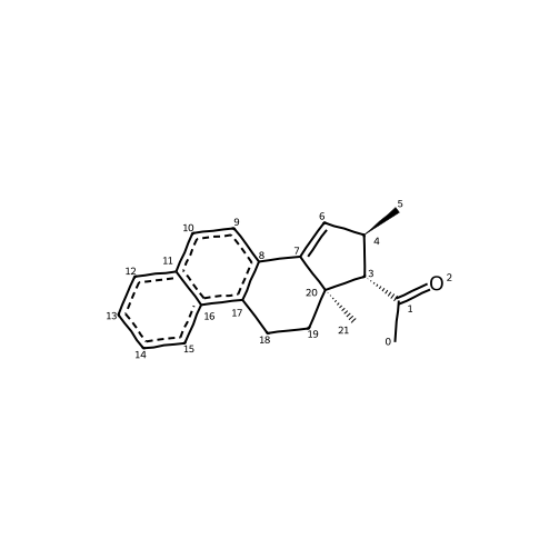 CC(=O)[C@H]1[C@H](C)C=C2c3ccc4ccccc4c3CC[C@@]21C